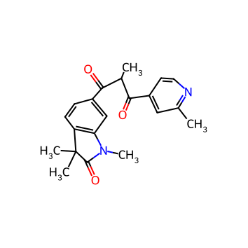 Cc1cc(C(=O)C(C)C(=O)c2ccc3c(c2)N(C)C(=O)C3(C)C)ccn1